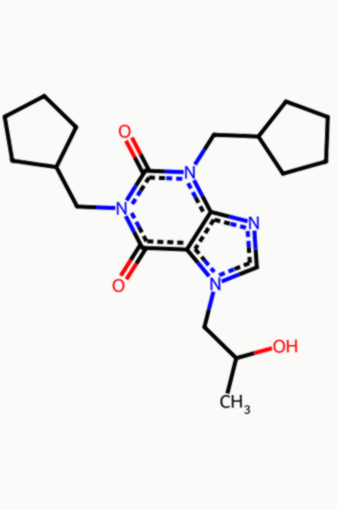 CC(O)Cn1cnc2c1c(=O)n(CC1CCCC1)c(=O)n2CC1CCCC1